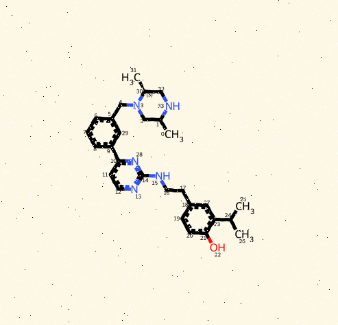 CC1CN(Cc2cccc(-c3ccnc(NCCc4ccc(O)c(C(C)C)c4)n3)c2)[C@@H](C)CN1